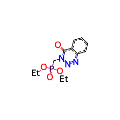 CCOP(=O)(Cn1nnc2ccccc2c1=O)OCC